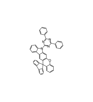 c1ccc(-c2nc(-c3ccccc3)nc(-n3c4ccccc4c4cc5c(cc43)Oc3ccccc3C53c4ccccc4-c4ccccc43)n2)cc1